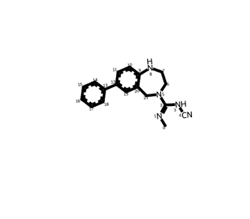 CN=C(NC#N)N1CCNc2ccc(-c3ccccc3)cc2C1